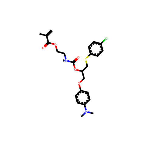 C=C(C)C(=O)OCCNC(=O)OC(COc1ccc(N(C)C)cc1)CSc1ccc(Cl)cc1